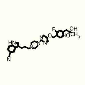 CC(O)(O)Cc1ccc(COc2cnc(N3CCN(CCCc4c[nH]c5ccc(C#N)cc45)CC3)nc2)c(F)c1